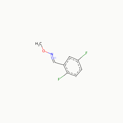 CO/N=C/c1cc(F)c[c]c1F